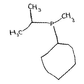 CC(C)P(C)C1CCCCC1